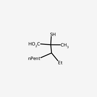 CCCCCC(CC)C(C)(S)C(=O)O